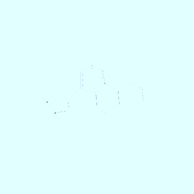 CN(C[C@@H]1CCOc2c(B3OC(C)(C)C(C)(C)O3)cccc21)C(=O)O